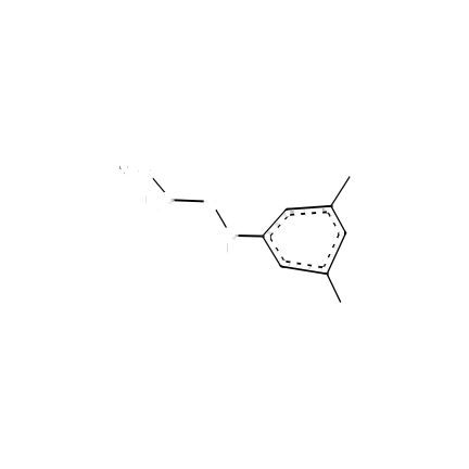 CO[SiH2]O[SiH2]c1cc(C)cc(C)c1